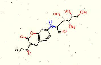 CC(=O)c1cc2ccc(N[C@H](C=O)[C@H](O)[C@@H](O)[C@@H](O)CO)cc2oc1=O